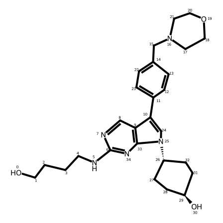 OCCCCNc1ncc2c(-c3ccc(CN4CCOCC4)cc3)cn([C@H]3CC[C@H](O)CC3)c2n1